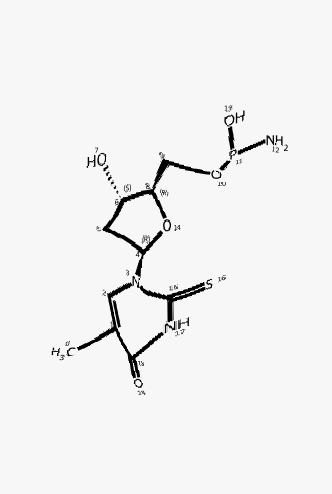 Cc1cn([C@H]2C[C@H](O)[C@@H](COP(N)O)O2)c(=S)[nH]c1=O